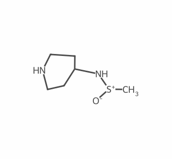 C[S+]([O-])NC1CCNCC1